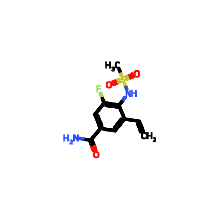 C=Cc1cc(C(N)=O)cc(F)c1NS(C)(=O)=O